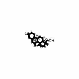 CC1CC2=C(CCC(=O)C2)[C@H]2CC[C@]3(C)C(F)(CO)CC4CC43[C@H]12